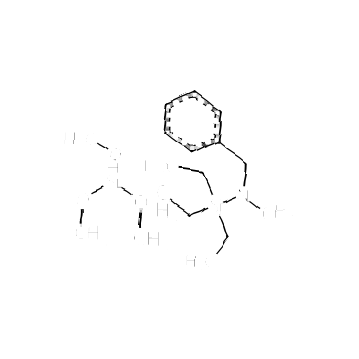 CC[Si](CC)(CC)N(C)Cc1ccccc1.CO[SiH](OC)OC